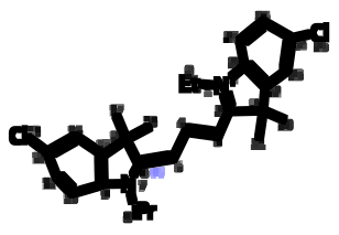 CC[N+]1=C(C=C/C=C2/N(C(C)C)c3ccc(Cl)cc3C2(C)C)C(C)(C)c2cc(Cl)ccc21